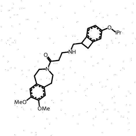 COc1cc2c(cc1OC)CCN(C(=O)CCNCC1Cc3cc(OC(C)C)ccc31)CC2